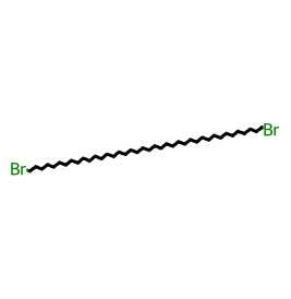 BrCCCCCCCCCCCCCCCCCCCCCCCCCCCCCCCCCCCCCCCCBr